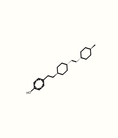 C[C@H]1CC[C@H](CC[C@H]2CC[C@H](CCc3ccc(O)cc3)CC2)CC1